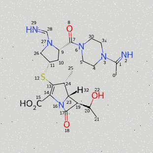 CC(=N)N1CCN(C(=O)[C@@H]2C[C@H](SC3=C(C(=O)O)N4C(=O)[C@H](C(C)O)[C@H]4[C@H]3C)CN2C=N)CC1